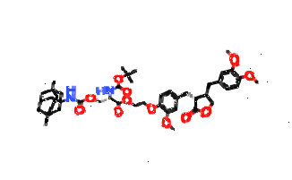 COc1ccc(C[C@H]2COC(=O)[C@@H]2Cc2ccc(OCCOC(=O)[C@H](COC(=O)NC34CC5CC(C)(CC(C)(C5)C3)C4)NC(=O)OC(C)(C)C)c(OC)c2)cc1OC